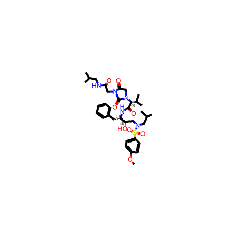 COc1ccc(S(=O)(=O)N(CC(C)C)C[C@H](O)[C@H](Cc2ccccc2)NC(=O)[C@H](C(C)C)N2CC(=O)N(CC(=O)NCC(C)C)C2=O)cc1